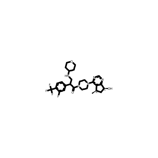 C[C@@H]1C[C@H](O)c2ncnc(N3CCN(C(=O)C(CNC4CCOCC4)c4ccc(C(F)(F)F)c(F)c4)CC3)c21